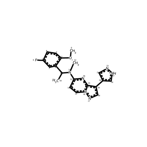 COc1ccc(F)cc1C(C)N(C)c1ccn2ncc(-c3cn[nH]c3)c2n1